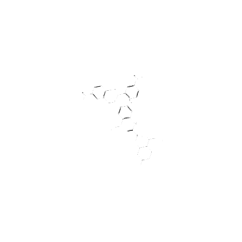 COc1cc(N(Cc2cc([N+](=O)[O-])ccc2O)Cc2cc([N+](=O)[O-])ccc2O)ccc1NC(=O)COC1CC(C)CCC1C(C)C